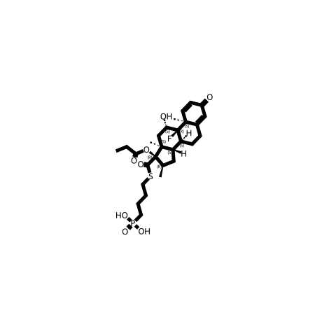 CCC(=O)O[C@]1(C(=O)SCCCCP(=O)(O)O)[C@H](C)C[C@H]2[C@@H]3CCC4=CC(=O)C=C[C@]4(C)[C@@]3(F)[C@@H](O)C[C@@]21C